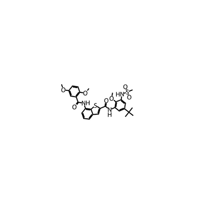 COc1ccc(OC)c(C(=O)Nc2cccc3cc(C(=O)Nc4cc(C(C)(C)C)cc(NS(C)(=O)=O)c4OC)sc23)c1